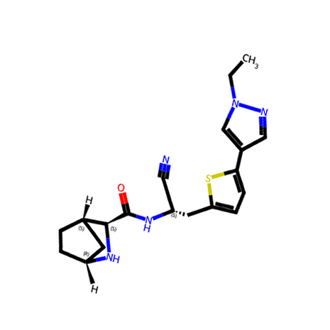 CCn1cc(-c2ccc(C[C@@H](C#N)NC(=O)[C@H]3N[C@@H]4CC[C@H]3C4)s2)cn1